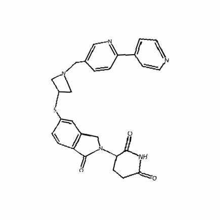 O=C1CCC(N2Cc3cc(SC4CN(Cc5ccc(-c6ccncc6)nc5)C4)ccc3C2=O)C(=O)N1